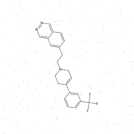 FC(F)(F)c1cccc(C2=CCN(CCc3ccc4cnncc4c3)CC2)c1